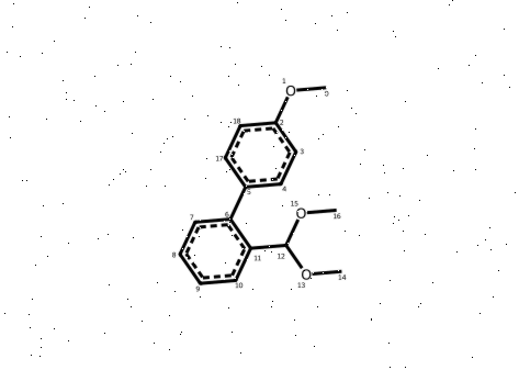 COc1ccc(-c2ccccc2C(OC)OC)cc1